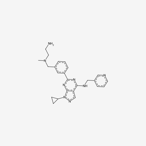 CN(CCN)Cc1cccc(-c2nc(NCc3cccnc3)c3cnn(C4CC4)c3n2)c1